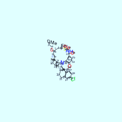 CC[C@@H]1CC[C@@H](OCCOC)/C=C/[C@@H]2CC[C@H]2CN2C[C@@]3(CCCc4cc(Cl)ccc43)COc3ccc(cc32)C(=O)NS1(=O)=O